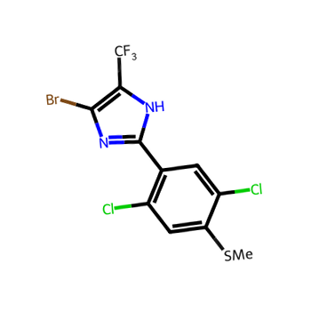 CSc1cc(Cl)c(-c2nc(Br)c(C(F)(F)F)[nH]2)cc1Cl